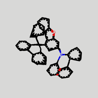 c1ccc(-c2ccccc2N(c2ccccc2)c2cc(C3(c4ccccc4)c4ccccc4-c4ccccc43)c3c(c2)oc2ccccc23)cc1